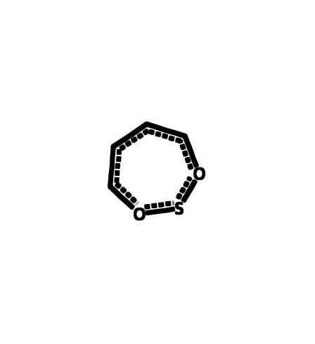 c1ccosoc1